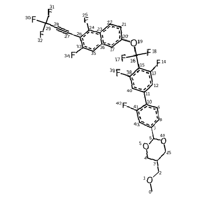 COCC1COC(c2ccc(-c3cc(F)c(C(F)(F)Oc4ccc5c(F)c(C#CC(F)(F)F)c(F)cc5c4)c(F)c3)c(F)c2)OC1